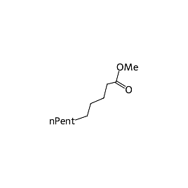 [CH2]OC(=O)CCCCCCCCC